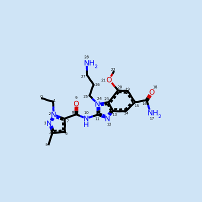 CCn1nc(C)cc1C(=O)Nc1nc2cc(C(N)=O)cc(OC)c2n1CCCN